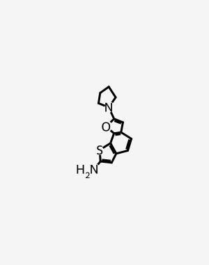 Nc1cc2ccc3cc(N4CCCC4)oc3c2s1